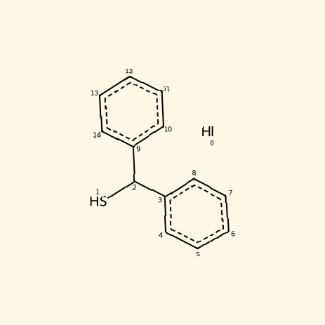 I.SC(c1ccccc1)c1ccccc1